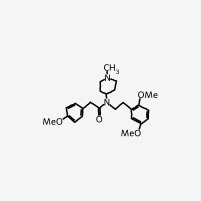 COc1ccc(CC(=O)N(CCc2cc(OC)ccc2OC)C2CCN(C)CC2)cc1